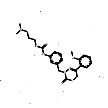 COc1ccccc1C1=NN(Cc2cccc(NC(=O)OCCCN(C)C)c2)C(=O)SC1